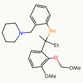 CCC(C)(Pc1ccccc1CN1CCCCC1)c1cccc(OC)c1OCOC